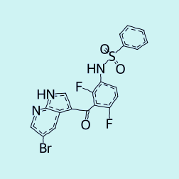 O=C(c1c(F)ccc(NS(=O)(=O)c2ccccc2)c1F)c1c[nH]c2ncc(Br)cc12